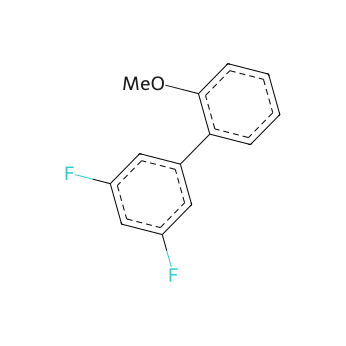 COc1ccccc1-c1cc(F)cc(F)c1